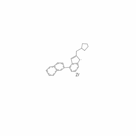 [CH]1C(CC2CCCC2)=Cc2c1cccc2-c1ccc2ccccc2c1.[Zr]